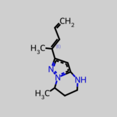 C=C/C=C(\C)c1cc2n(n1)C(C)CCN2